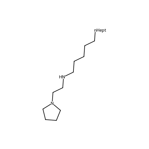 CCCCCCCCCCCCNCCN1CCCC1